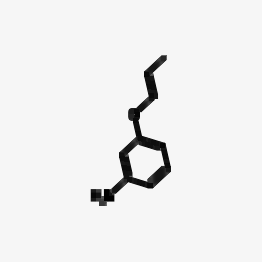 CC=COc1cccc(N)c1